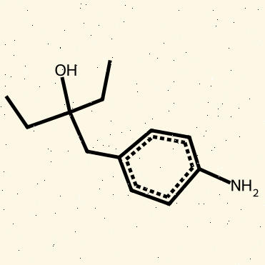 CCC(O)(CC)Cc1ccc(N)cc1